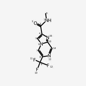 CNC(=O)c1cn2cc(C(F)(F)F)ncc2n1